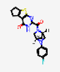 O=C(c1nc2sc3c(c2c(=O)[nH]1)CCC3)N1C[C@@H]2C[C@H]1CN2c1ccc(F)cc1